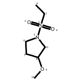 CCS(=O)(=O)N1C[CH]C(OC)C1